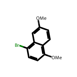 COc1ccc2c(OC)ccc(Br)c2c1